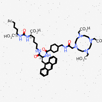 CC(=O)CCC[C@H](NC(=O)N[C@@H](CCCCNC(=O)[C@H](Cc1c2ccccc2cc2ccccc12)NC(=O)C1CCC(CNC(=O)CN2CCN(CC(=O)O)CCN(CC(=O)O)CCN(CC(=O)O)CC2)CC1)C(=O)O)C(=O)O